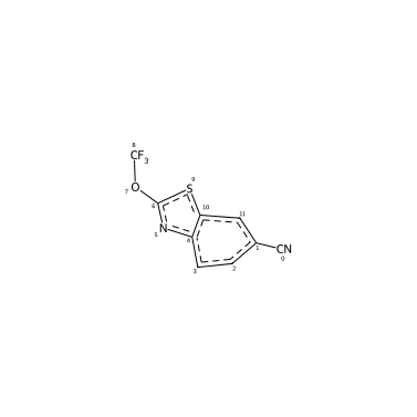 N#Cc1ccc2nc(OC(F)(F)F)sc2c1